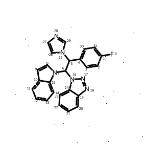 Fc1ccc(C(C(n2ccc3ccccc32)n2nnc3ccccc32)n2ccnc2)cc1